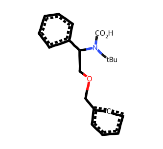 CC(C)(C)N(C(=O)O)C(COCc1ccccc1)c1ccccc1